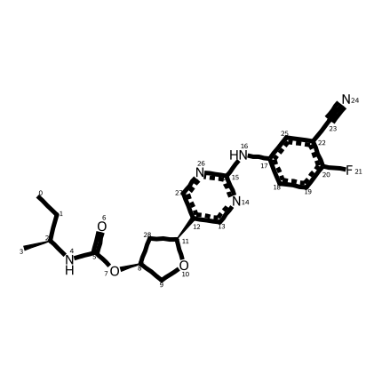 CC[C@H](C)NC(=O)O[C@@H]1CO[C@H](c2cnc(Nc3ccc(F)c(C#N)c3)nc2)C1